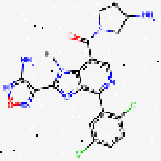 CCn1c(-c2nonc2N)nc2c(-c3cc(Cl)ccc3Cl)ncc(C(=O)N3CCC(N)C3)c21